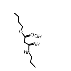 CCCCOC(=O)CC(=N)NCCC.Cl